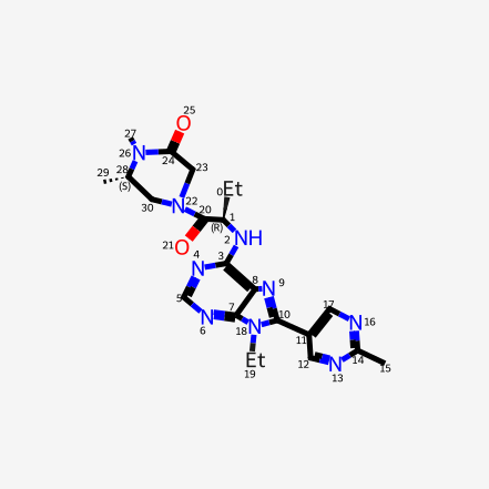 CC[C@@H](Nc1ncnc2c1nc(-c1cnc(C)nc1)n2CC)C(=O)N1CC(=O)N(C)[C@@H](C)C1